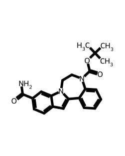 CC(C)(C)OC(=O)N1CCn2c(cc3ccc(C(N)=O)cc32)-c2ccccc21